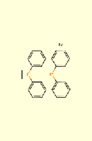 CC.[Pd].c1ccc(Pc2ccccc2)cc1.c1ccc(Pc2ccccc2)cc1